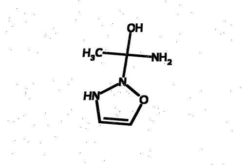 CC(N)(O)N1NC=CO1